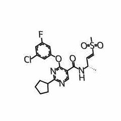 C[C@@H](/C=C/S(C)(=O)=O)NC(=O)c1cnc(C2CCCC2)nc1Oc1cc(F)cc(Cl)c1